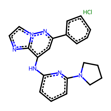 Cl.c1ccc(-c2cc(Nc3cccc(N4CCCC4)n3)c3nccn3n2)cc1